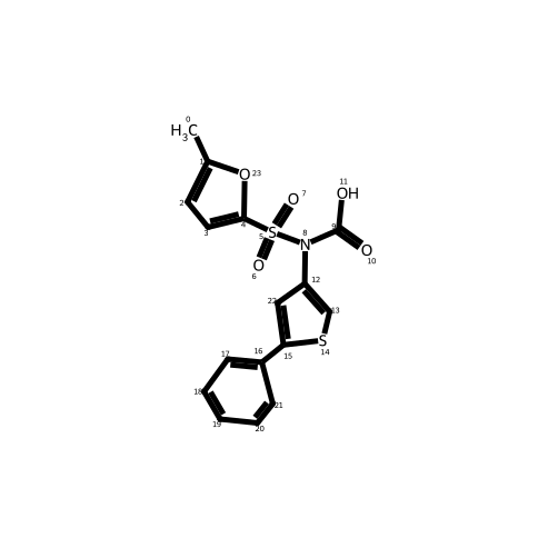 Cc1ccc(S(=O)(=O)N(C(=O)O)c2csc(-c3ccccc3)c2)o1